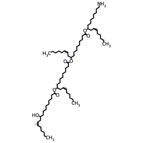 CCCCC/C=C\CC(O)CCCCCCCCC(=O)OC(C/C=C\CCCCC)CCCCCCCCC(=O)OC(C/C=C\CCCCC)CCCCCCCCC(=O)OC(C/C=C\CCCCC)CCCCCCCCN